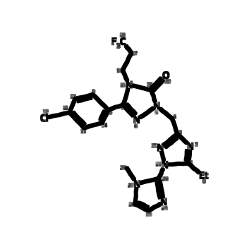 CCc1nc(Cn2nc(-c3ccc(Cl)cc3)n(CCC(F)(F)F)c2=O)nn1-c1nccn1C